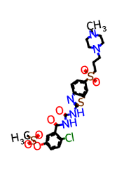 CN1CCN(CCCS(=O)(=O)c2ccc3nc(NC(=O)NC(=O)c4cc(OS(C)(=O)=O)ccc4Cl)sc3c2)CC1